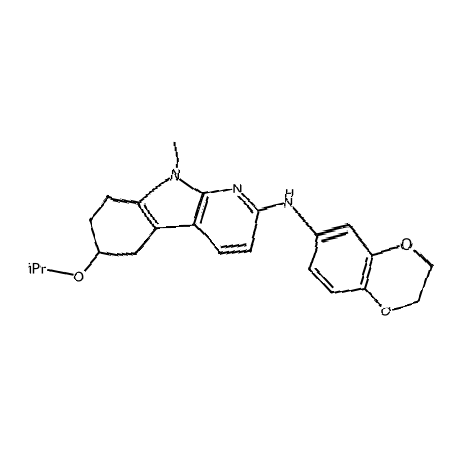 CC(C)OC1CCc2c(c3ccc(Nc4ccc5c(c4)OCCO5)nc3n2C)C1